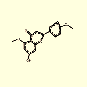 COc1ccc(-c2cc(=O)c3c(OC)cc(O)cc3o2)cc1